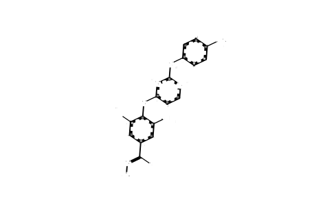 Cc1cc(/C(=N/O)C(C)C)cc(C)c1Nc1ccnc(Nc2ccc(C#N)cc2)n1